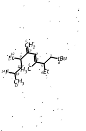 C=C(/C=C(\C)C(CC)CC(C)(C)C)C(CC)CC(C)F